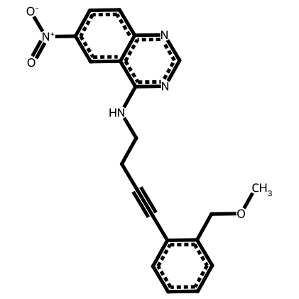 COCc1ccccc1C#CCCNc1ncnc2ccc([N+](=O)[O-])cc12